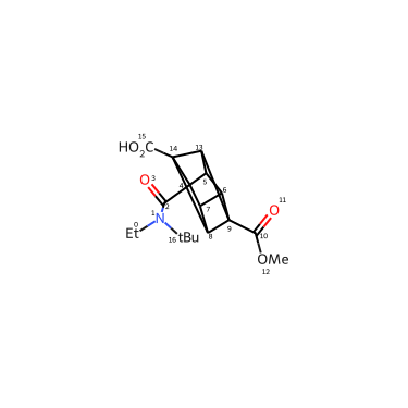 CCN(C(=O)C12C3C4C1C1C4(C(=O)OC)C3C12C(=O)O)C(C)(C)C